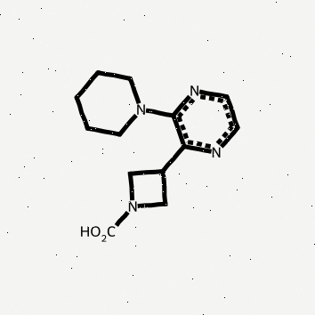 O=C(O)N1CC(c2nccnc2N2CCCCC2)C1